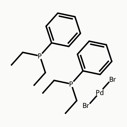 CCP(CC)c1ccccc1.CCP(CC)c1ccccc1.[Br][Pd][Br]